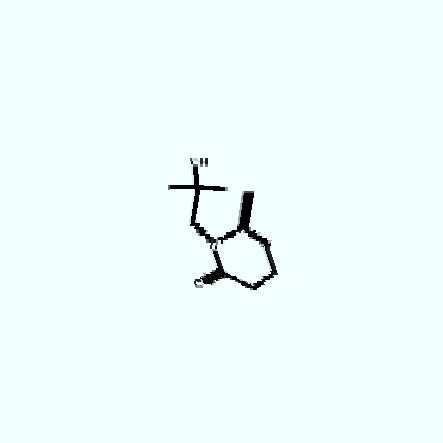 C=C1CCCC(=O)N1CC(C)(C)O